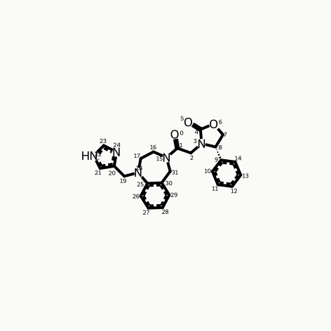 O=C(CN1C(=O)OC[C@@H]1c1ccccc1)N1CCN(Cc2c[nH]cn2)c2ccccc2C1